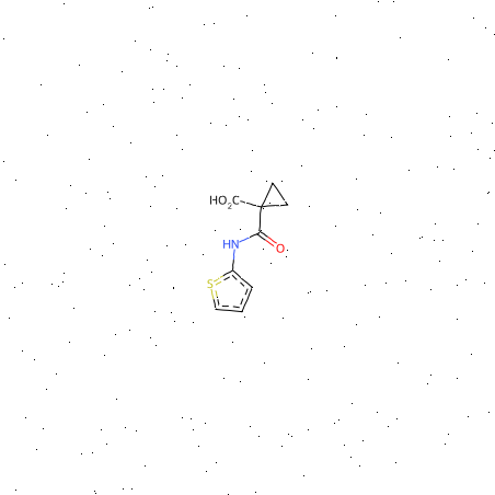 O=C(O)C1(C(=O)Nc2cccs2)CC1